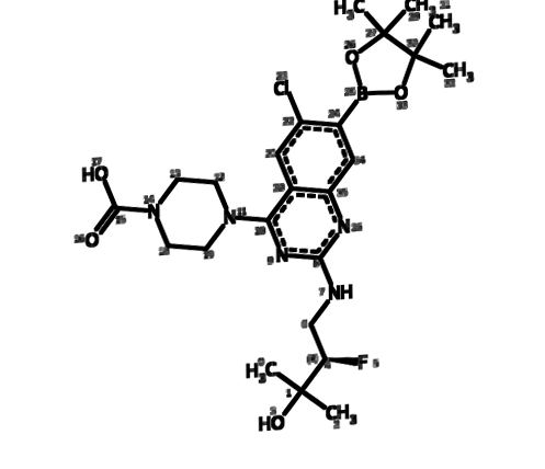 CC(C)(O)[C@H](F)CNc1nc(N2CCN(C(=O)O)CC2)c2cc(Cl)c(B3OC(C)(C)C(C)(C)O3)cc2n1